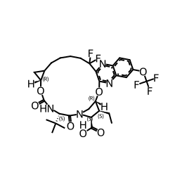 CC[C@@H]1[C@@H]2CN(C(=O)[C@H](C(C)(C)C)NC(=O)O[C@@H]3CC3CCCCC(F)(F)c3nc4ccc(OC(F)(F)F)cc4nc3O2)[C@@H]1C(=O)O